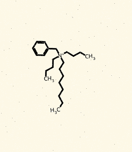 CCCCCCCC[N+](CCCC)(CCCC)Cc1ccccc1